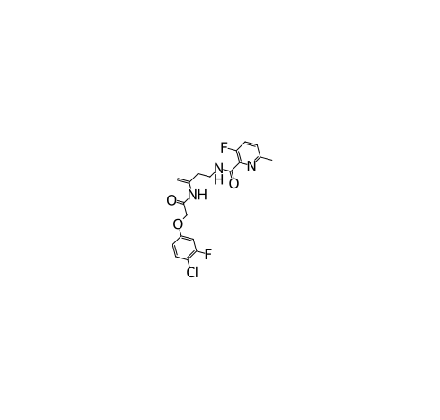 C=C(CCNC(=O)c1nc(C)ccc1F)NC(=O)COc1ccc(Cl)c(F)c1